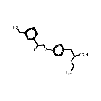 O=C(O)C(Cc1ccc(OCC(F)c2cccc(CO)c2)cc1)OCC(F)(F)F